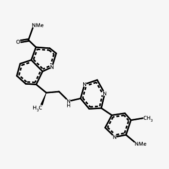 CNC(=O)c1ccnc2c([C@H](C)CNc3cc(-c4cnc(NC)c(C)c4)ncn3)cccc12